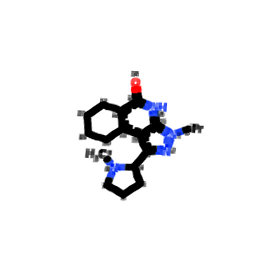 CC(C)n1nc(C2CCCN2C)c2c3c(c(=O)[nH]c21)CCCC3